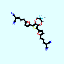 N#CC(C#N)=C/C=C/c1ccc(-c2sc(-c3ccc(/C=C/C=C(C#N)C#N)o3)c3c2OCC(F)(F)CO3)o1